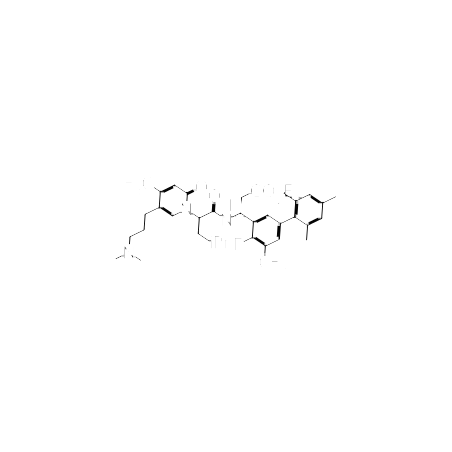 CCOC(=O)C[C@H](NC(=O)C(CC(C)C)n1cc(CCCN(C)C)c(C(F)(F)F)cc1=O)c1cc(-c2c(C)cc(C)cc2C)cc(C(F)(F)F)c1F